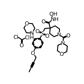 C1COCCN1.CC#CCOc1ccc(S(=O)(=O)CC2(C(=O)NO)CCN(C(=O)N3CCOCC3)CC2)cc1.O=C(Cl)Cl